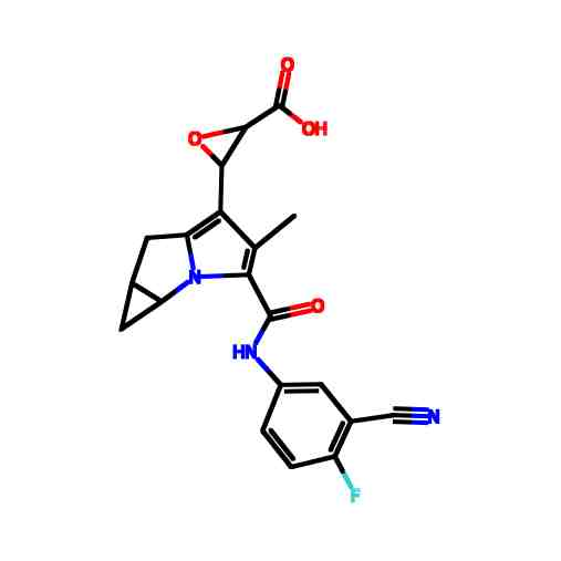 Cc1c(C2OC2C(=O)O)c2n(c1C(=O)Nc1ccc(F)c(C#N)c1)C1CC1C2